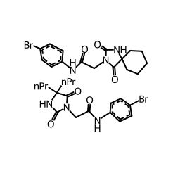 CCCC1(CCC)NC(=O)N(CC(=O)Nc2ccc(Br)cc2)C1=O.O=C(CN1C(=O)NC2(CCCCC2)C1=O)Nc1ccc(Br)cc1